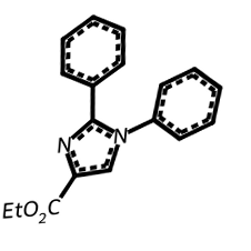 CCOC(=O)c1cn(-c2ccccc2)c(-c2ccccc2)n1